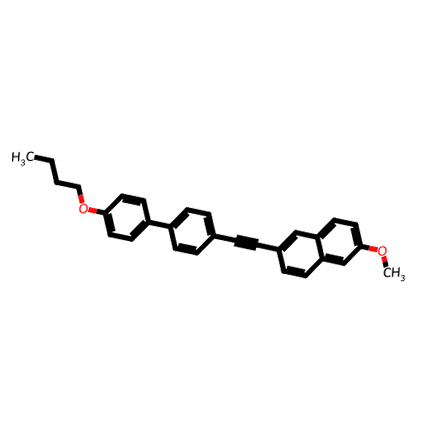 CCCCOc1ccc(-c2ccc(C#Cc3ccc4cc(OC)ccc4c3)cc2)cc1